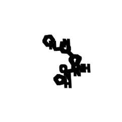 O=C(NC1CCCC1)c1n[nH]c2ccc(-c3cncc(CN4CCCCC4)c3)cc12